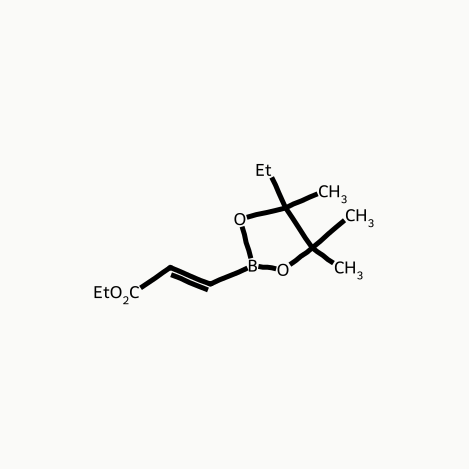 CCOC(=O)/C=C/B1OC(C)(C)C(C)(CC)O1